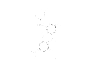 CCC(COC)Nc1nc(C)nc(Oc2c(Br)cc(C(C)C)cc2OC)n1